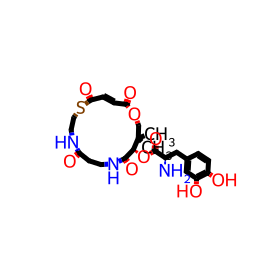 CC1(C)COC(=O)/C=C/C(=O)SCCNC(=O)CCNC(=O)[C@@H]1OC(=O)[C@@H](N)Cc1ccc(O)c(O)c1